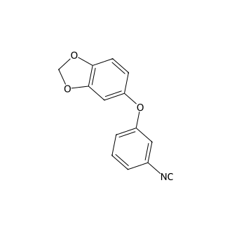 [C-]#[N+]c1cccc(Oc2ccc3c(c2)OCO3)c1